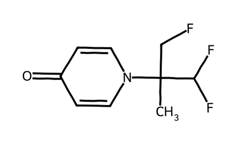 CC(CF)(C(F)F)n1ccc(=O)cc1